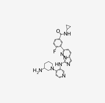 NC1CCCN(c2ccncc2Nc2ncc3ccc(-c4cc(C(=O)NC5CC5)ccc4F)nn23)C1